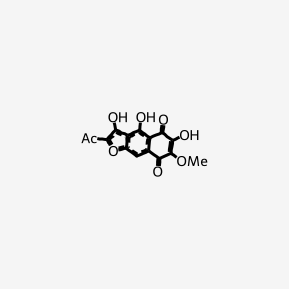 COC1=C(O)C(=O)c2c(cc3oc(C(C)=O)c(O)c3c2O)C1=O